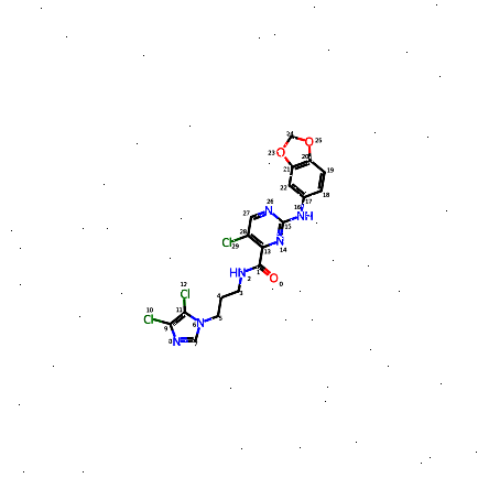 O=C(NCCCn1cnc(Cl)c1Cl)c1nc(Nc2ccc3c(c2)OCO3)ncc1Cl